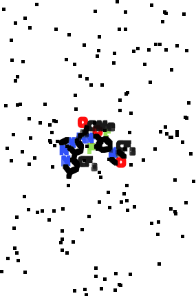 COC(=O)[C@H](Cc1ccc(-c2ncc(C)cc2C(F)(F)F)c2nccn12)NC(=O)c1c(F)cc(N2CCOC[C@@H]2C(F)(F)F)cc1F